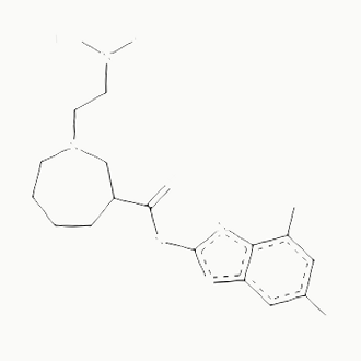 CN(C)CCN1CCCCC(C(=O)Nc2nc3c(F)cc(F)cc3s2)C1